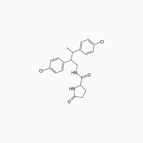 CC(c1ccc(Cl)cc1)C(CNC(=O)C1CCC(=O)N1)c1ccc(Cl)cc1